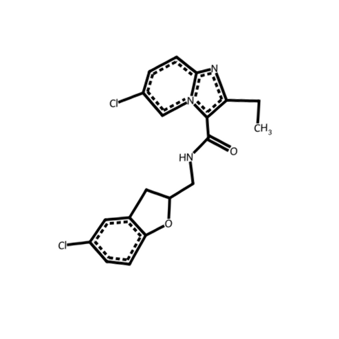 CCc1nc2ccc(Cl)cn2c1C(=O)NCC1Cc2cc(Cl)ccc2O1